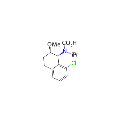 CO[C@@H]1CCc2cccc(Cl)c2[C@@H]1N(C(=O)O)C(C)C